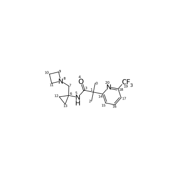 CC(C)(C(=O)NC1(CN2CCC2)CC1)c1cccc(C(F)(F)F)n1